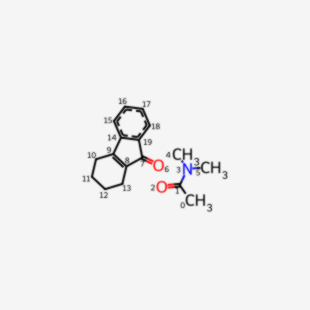 CC(=O)N(C)C.O=C1C2=C(CCCC2)c2ccccc21